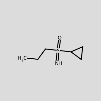 CCCS(=N)(=O)C1CC1